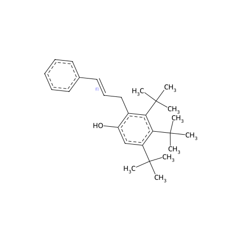 CC(C)(C)c1cc(O)c(C/C=C/c2ccccc2)c(C(C)(C)C)c1C(C)(C)C